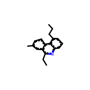 CCCc1cccc2nc(CC)c3cc(C)ccc3c12